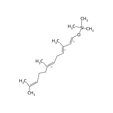 CC(C)=CCC/C(C)=C/C/C=C(C)/C=C/O[Si](C)(C)C